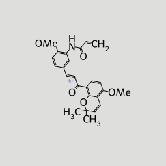 C=CC(=O)Nc1cc(/C=C/C(=O)c2ccc(OC)c3c2OC(C)(C)C=C3)ccc1OC